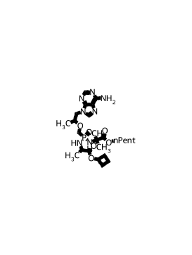 CCCCCOC(=O)C(C)(C)NP(=O)(COC(C)Cn1cnc2c(N)ncnc21)NC(C)C(=O)OC1CCC1